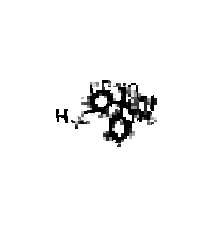 CCCC(=O)C(c1ccccc1)(c1cccc(C)c1)n1cncn1